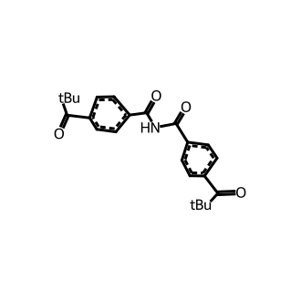 CC(C)(C)C(=O)c1ccc(C(=O)NC(=O)c2ccc(C(=O)C(C)(C)C)cc2)cc1